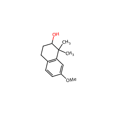 COc1ccc2c(c1)C(C)(C)C(O)CC2